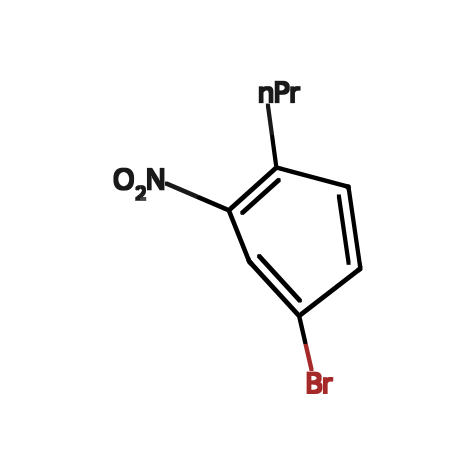 CCCc1ccc(Br)cc1[N+](=O)[O-]